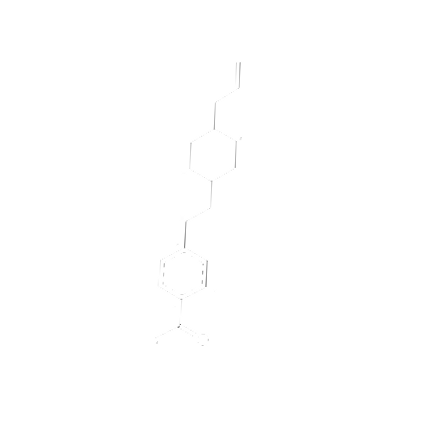 C=CCC1CCC(CCc2ccc(C(C)=O)cc2)CC1